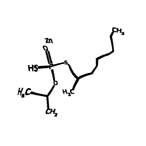 CCCCC(C)SP(=O)(S)OC(C)C.[Zn]